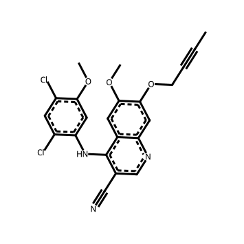 CC#CCOc1cc2ncc(C#N)c(Nc3cc(OC)c(Cl)cc3Cl)c2cc1OC